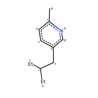 CCC(CC)Cc1ccc(C)nc1